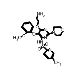 COc1ccccc1Oc1c(NS(=O)(=O)c2ccc(C)cn2)nc(N2CCOCC2)nc1OCCN